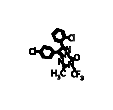 Cc1nc2c(-c3ccc(Cl)cc3)c(-c3ccccc3Cl)nn2c(=O)n1CC(F)(F)F